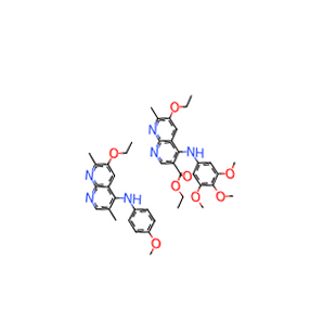 CCOC(=O)c1cnc2nc(C)c(OCC)cc2c1Nc1cc(OC)c(OC)c(OC)c1.CCOc1cc2c(Nc3ccc(OC)cc3)c(C)cnc2nc1C